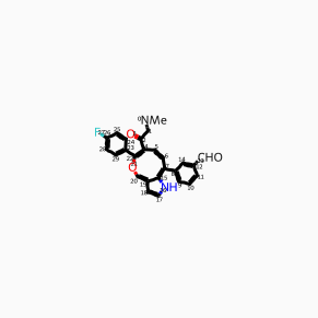 CNCC(=O)c1ccc(-c2cccc(C=O)c2)c2[nH]ccc2coc1-c1ccc(F)cc1